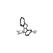 COc1ccc2c(c1)C1Cc3ccccc3C1N2CS(C)(C)C